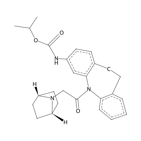 CC(C)OC(=O)Nc1ccc2c(c1)N(C(=O)CN1[C@H]3CC[C@@H]1CC3)c1ccccc1CC2